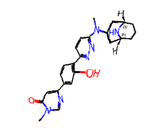 CN(c1ccc(-c2ccc(-c3cc(=O)n(C)cn3)cc2O)nn1)C1C[C@H]2CCC[C@@H](C1)N2